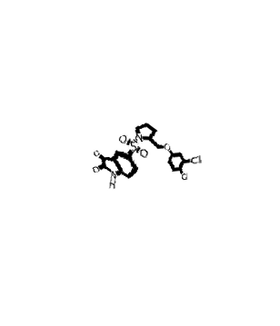 O=C1Nc2ccc(S(=O)(=O)N3CCCC3COc3ccc(Cl)c(Cl)c3)cc2C1=O